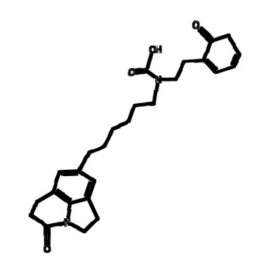 O=C1CC=CC=C1CCN(CCCCCCc1cc2c3c(c1)CCN3C(=O)CC2)C(=O)O